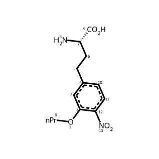 CCCOc1cc(CC[C@H](N)C(=O)O)ccc1[N+](=O)[O-]